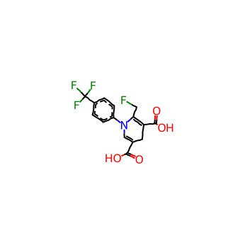 O=C(O)C1=CN(c2ccc(C(F)(F)F)cc2)C(CF)=C(C(=O)O)C1